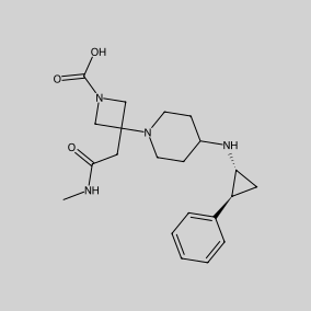 CNC(=O)CC1(N2CCC(N[C@@H]3C[C@H]3c3ccccc3)CC2)CN(C(=O)O)C1